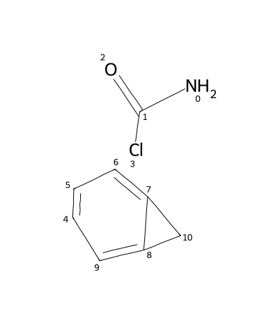 NC(=O)Cl.c1ccc2c(c1)C2